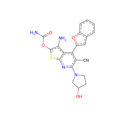 N#Cc1c(N2CCC(O)C2)nc2sc(OC(N)=O)c(N)c2c1-c1cc2ccccc2o1